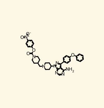 Nc1ncnc2c1c(-c1ccc(Oc3ccccc3)cc1)nn2C1CCN(CC2CCN(C(=O)Oc3ccc([N+](=O)[O-])cc3)CC2)CC1